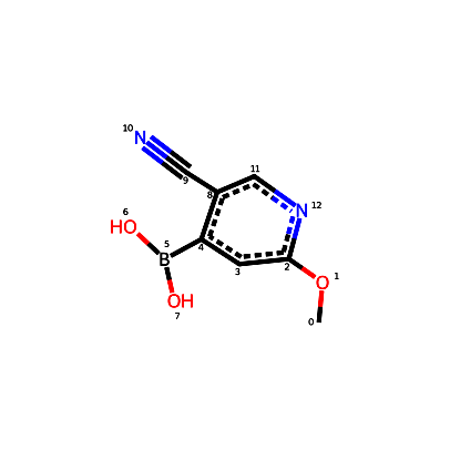 COc1cc(B(O)O)c(C#N)cn1